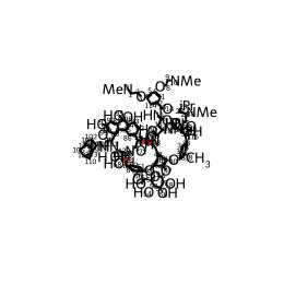 CNCCOc1cc(OCCNC)cc(C(=O)NC(=O)CC2NC(=O)[C@H](NC(=O)[C@@H](CC(C)C)NC)[C@H](O)c3ccc(c(C)c3)Oc3cc4cc(c3O[C@@H]3O[C@H](CO)[C@@H](O)[C@H](O)[C@H]3O)Oc3ccc(cc3Cl)[C@@H](O)[C@@H]3NC(=O)[C@H](NC(=O)[C@@H]4NC2=O)c2ccc4c(c2)-c2c(cc(O)cc2C4(O)O)[C@@H](C(=O)NC2C4CC5CC(C4)CC2C5)NC3=O)c1